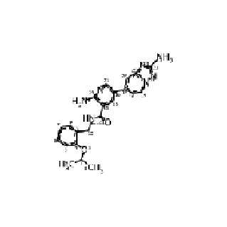 CC(C)Oc1ccccc1CNC(=O)c1cc(-c2ccn3nc(N)nc3c2)cnc1N